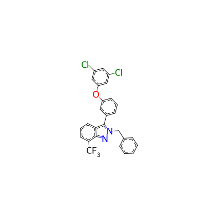 FC(F)(F)c1cccc2c(-c3cccc(Oc4cc(Cl)cc(Cl)c4)c3)n(Cc3ccccc3)nc12